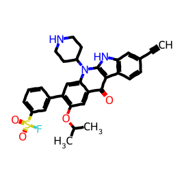 C#Cc1ccc2c(c1)[nH]c1c2c(=O)c2cc(OC(C)C)c(-c3cccc(S(=O)(=O)F)c3)cc2n1C1CCNCC1